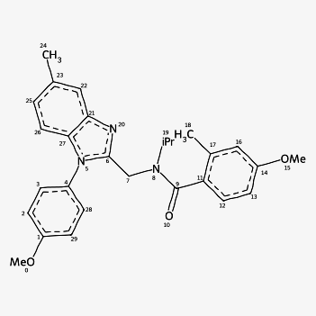 COc1ccc(-n2c(CN(C(=O)c3ccc(OC)cc3C)C(C)C)nc3cc(C)ccc32)cc1